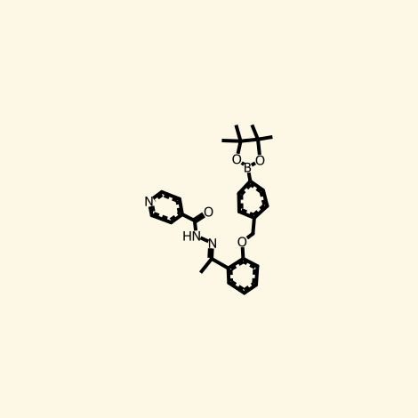 C/C(=N\NC(=O)c1ccncc1)c1ccccc1OCc1ccc(B2OC(C)(C)C(C)(C)O2)cc1